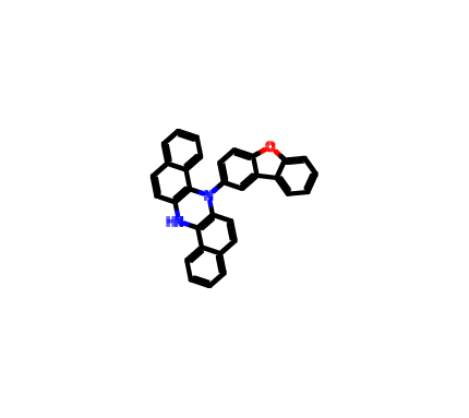 c1ccc2c3c(ccc2c1)N(c1ccc2oc4ccccc4c2c1)c1c(ccc2ccccc12)N3